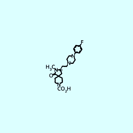 CN1C(=O)C2(CCN(C(=O)O)CC2)C[C@@H]1CCN1CCN(c2ccc(F)cc2)CC1